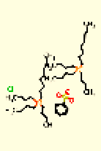 CCCCCCCC[P+](CCCC)(CCCC)CCCC.CCCCCCCC[P+](CCCC)(CCCC)CCCC.O=S(=O)([O-])c1ccccc1.[Cl-]